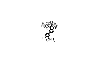 CCc1ccc(-c2ccc(Cl)c(C(N)=O)c2)cc1C1=C(O)C(C)(C)OC(C)(C)C1=O